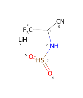 N#CC(N[SH](=O)=O)C(F)(F)F.[LiH]